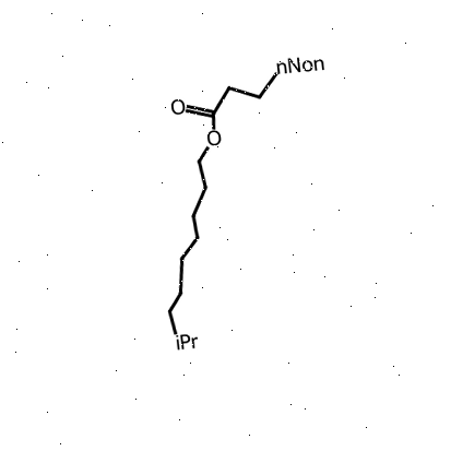 CCCCCCCCCCCC(=O)OCCCCCCCC(C)C